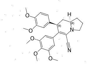 COc1ccc([C@H]2C[C@H]3CCCN3C(C#N)=C2c2cc(OC)c(OC)c(OC)c2)cc1OC